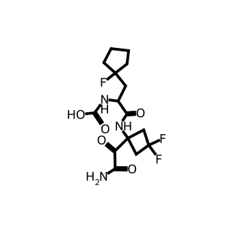 NC(=O)C(=O)C1(NC(=O)C(CC2(F)CCCC2)NC(=O)O)CC(F)(F)C1